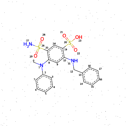 CN(c1ccccc1)c1cc(NCc2ccccc2)c(S(=O)(=O)O)cc1S(N)(=O)=O